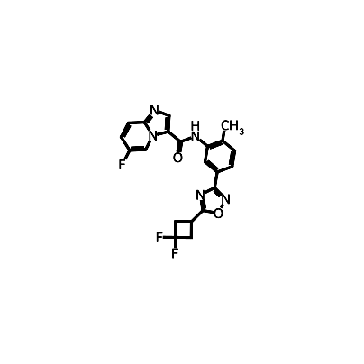 Cc1ccc(-c2noc(C3CC(F)(F)C3)n2)cc1NC(=O)c1cnc2ccc(F)cn12